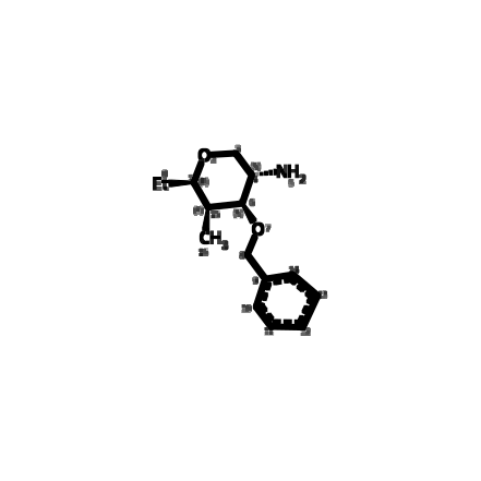 CC[C@H]1OC[C@H](N)[C@@H](OCc2ccccc2)[C@H]1C